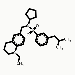 CCN1CCCc2cc(CN(C3CCCC3)S(=O)(=O)c3cccc(CC(C)C)c3)ccc21